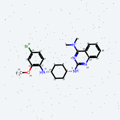 CN(C)c1nc(N[C@H]2CC[C@@H](Nc3ccc(Br)cc3OC(F)(F)F)CC2)nc2ccccc12